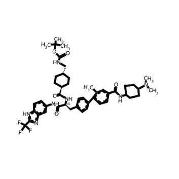 Cc1cc(C(=O)NC2CCC(N(C)C)CC2)ccc1-c1ccc(C[C@H](NC(=O)[C@H]2CC[C@H](CNC(=O)OC(C)(C)C)CC2)C(=O)Nc2ccc3[nH]c(C(F)(F)F)nc3c2)cc1